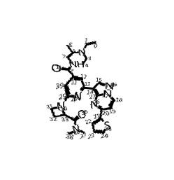 CCN(CC)C(C)CNC(=O)c1cc(-c2cnn3ccc(-c4cccs4)nc23)nc(N2CCC2C(=O)N(C)C)c1